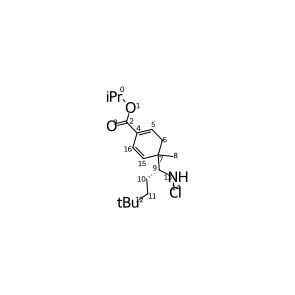 CC(C)OC(=O)C1=CCC(C)([C@@H](CCC(C)(C)C)NCl)C=C1